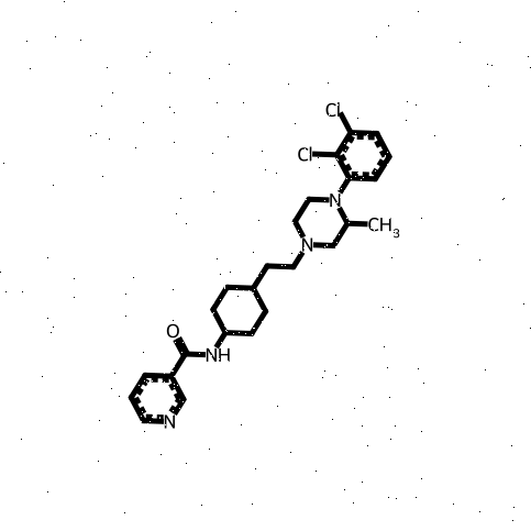 CC1CN(CCC2CCC(NC(=O)c3cccnc3)CC2)CCN1c1cccc(Cl)c1Cl